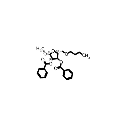 CCCCOC[C@H]1O[C@@H](OC)[C@@H](OC(=O)c2ccccc2)C1OC(=O)c1ccccc1